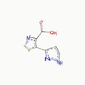 O=C(O)c1ncsc1-c1cc[nH]n1